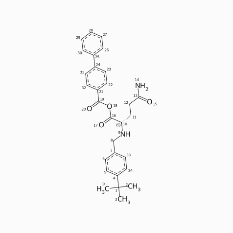 CC(C)(C)c1ccc(CN[C@@H](CCC(N)=O)C(=O)OC(=O)c2ccc(-c3ccccc3)cc2)cc1